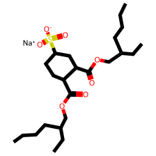 CCCCC(CC)COC(=O)C1CCC(S(=O)(=O)[O-])CC1C(=O)OCC(CC)CCCC.[Na+]